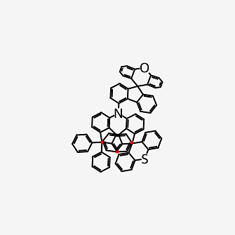 c1ccc(C2(c3ccccc3)c3ccccc3-c3c(N(c4cccc5c4-c4ccccc4C54c5ccccc5Oc5ccccc54)c4cccc5c4-c4ccccc4C54c5ccccc5Sc5ccccc54)cccc32)cc1